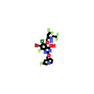 Oc1nc(OC[C@@]23CCCN2C[C@H](F)C3)nc2c(F)c(Br)c(Cl)c(OC[C@H](C=C(F)F)NCC(F)F)c12